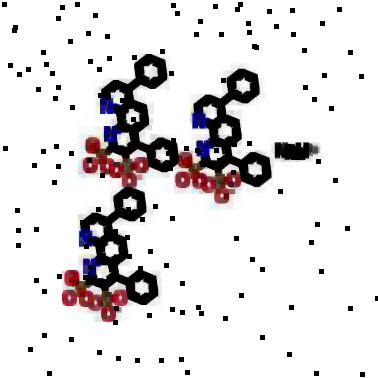 O=S(=O)([O-])c1nc2c(ccc3c(-c4ccccc4)ccnc32)c(-c2ccccc2)c1S(=O)(=O)[O-].O=S(=O)([O-])c1nc2c(ccc3c(-c4ccccc4)ccnc32)c(-c2ccccc2)c1S(=O)(=O)[O-].O=S(=O)([O-])c1nc2c(ccc3c(-c4ccccc4)ccnc32)c(-c2ccccc2)c1S(=O)(=O)[O-].[NaH].[Ru+2]